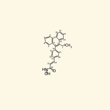 CCC(=C(c1ccccc1)c1ccc(C=CC(=O)NO)cc1)c1ccccc1